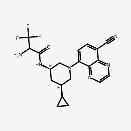 N#Cc1ccc(N2C[C@H](NC(=O)C(N)C(F)(F)F)C[C@H](C3CC3)C2)c2nccnc12